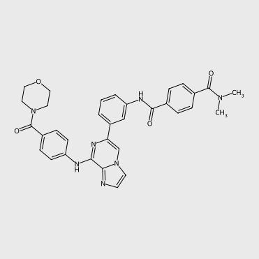 CN(C)C(=O)c1ccc(C(=O)Nc2cccc(-c3cn4ccnc4c(Nc4ccc(C(=O)N5CCOCC5)cc4)n3)c2)cc1